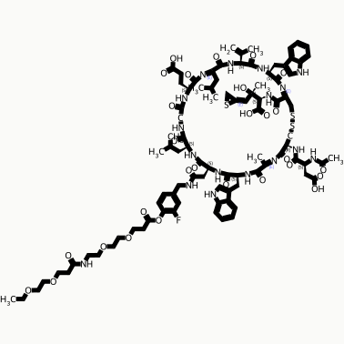 C=C(C)[C@@H]1NC(=O)/C(CC(C)C)=N/C(=O)[C@H](CCC(=O)O)NC(=O)CNC(=O)[C@H](CC(C)C)NC(=O)[C@H](CC(=O)NCc2ccc(OC(=O)CCOCCOCCNC(=O)CCOCCOCC)c(F)c2)NC(=O)[C@H](Cc2c[nH]c3ccccc23)NC(=O)/C(C)=N/C(=O)[C@@H](NC(=O)[C@H](CC(=O)O)NC(C)=O)CSSC/C(C(=O)N[C@H](C(=O)O)[C@](C)(O)/C=C2\CS2)=N/C(=O)[C@H](Cc2c[nH]c3ccccc23)NC1=O